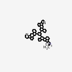 C=C/C=C\C1=C(C)c2cc3c4ccccc4c(-c4cc(-c5cc6c7cccc8c7c(cc6c6ccccc56)-c5ncccc5-8)cc(-c5cc6c7cccc8c7c(cc6c6ccccc56)-c5ncccc5-8)c4)cc3c3cccc1c23